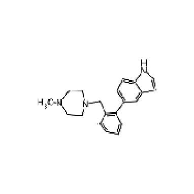 CN1CCN(Cc2[c]cccc2-c2ccc3[nH]ccc3c2)CC1